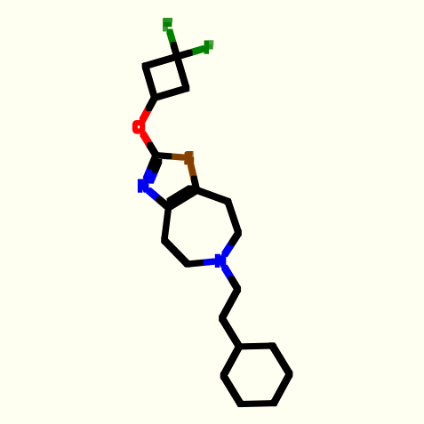 FC1(F)CC(Oc2nc3c(s2)CCN(CCC2CCCCC2)CC3)C1